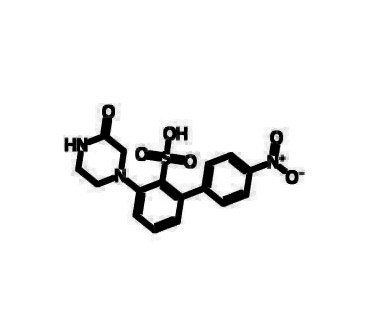 O=C1CN(c2cccc(-c3ccc([N+](=O)[O-])cc3)c2S(=O)(=O)O)CCN1